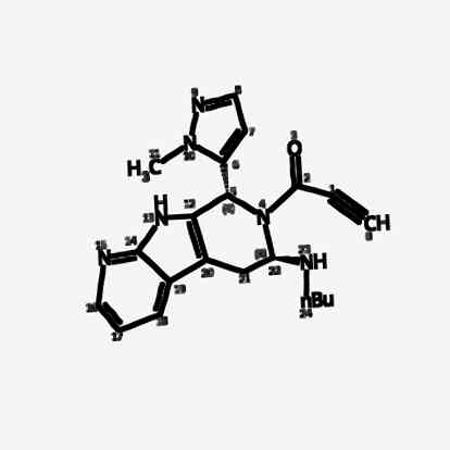 C#CC(=O)N1[C@@H](c2ccnn2C)c2[nH]c3ncccc3c2C[C@@H]1NCCCC